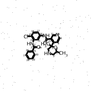 CC1CNCC(C)(c2ccncc2C(=O)Nc2ccc(Cl)c(NC(=O)c3ccccc3)c2)O1